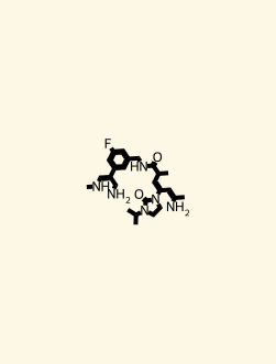 CN/C=C(\CN)c1cc(F)cc(CNC(=O)C(C)/C=C(\C=C(\C)N)N2CCN(C(C)C)C2=O)c1